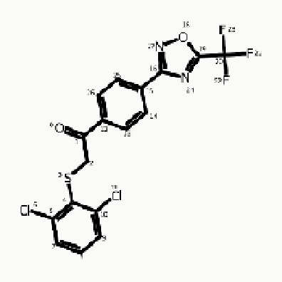 O=C(CSc1c(Cl)cccc1Cl)c1ccc(-c2noc(C(F)(F)F)n2)cc1